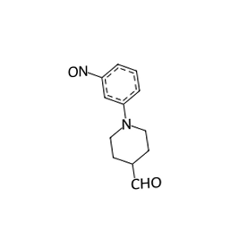 O=CC1CCN(c2cccc(N=O)c2)CC1